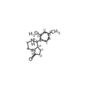 Cc1ccc(C2NCCN3C(=O)CCC23)c(C)c1